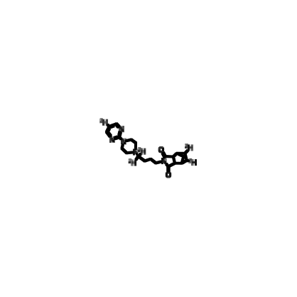 [2H]c1cnc(N2CCN(C([2H])([2H])CCCN3C(=O)C4C5CC(C([2H])C5[2H])C4C3=O)CC2)nc1